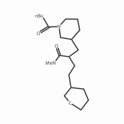 CCCCC(=O)N1CCCC(CC(CCC2CCCCC2)C(=O)NC)C1